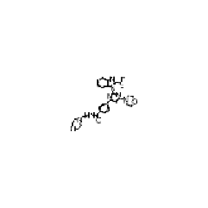 O=C(NCCN1CCOCC1)c1ccc(-c2cc(N3CCOCC3)nc(-n3c(C(F)F)nc4ccccc43)n2)cc1